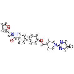 CCc1cnc(N2CCC(COc3ccc(C4=CCC(C(=O)NCc5ccco5)CC4)cc3)CC2)nc1